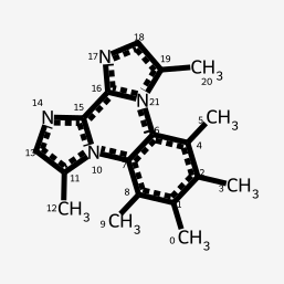 Cc1c(C)c(C)c2c(c1C)n1c(C)cnc1c1ncc(C)n12